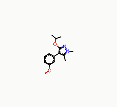 COc1cccc(-c2c(OC(C)C)nn(C)c2C)c1